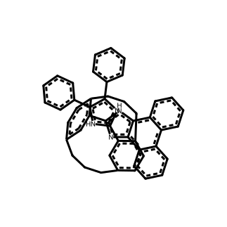 c1ccc(-c2nc(-c3cc4ccc3CCCc3ccc(cc3-c3nc5c6ccccc6c6ccccc6c5[nH]3)CCC4)[nH]c2-c2ccccc2)cc1